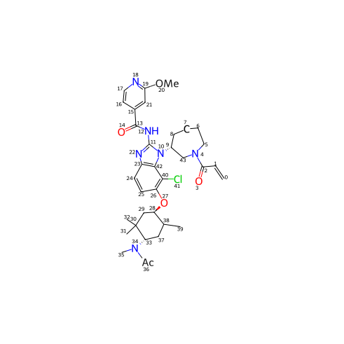 C=CC(=O)N1CCCC[C@@H](n2c(NC(=O)c3ccnc(OC)c3)nc3ccc(O[C@@H]4CC(C)(C)[C@@H](N(C)C(C)=O)CC4C)c(Cl)c32)C1